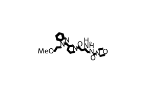 COCCCn1c(C2CCCN(C(=O)CC(N)CNC(=O)N3CCOCC3)C2)nc2ccccc21